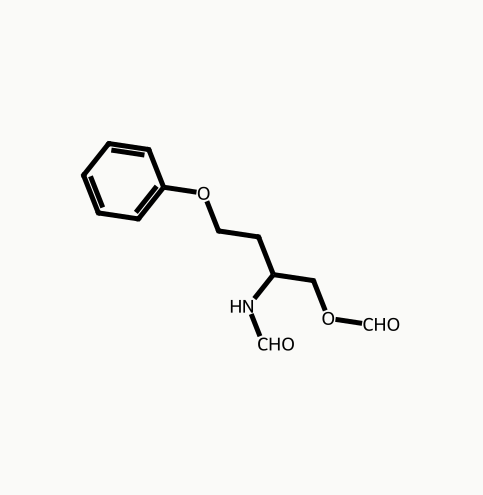 O=CNC(CCOc1ccccc1)COC=O